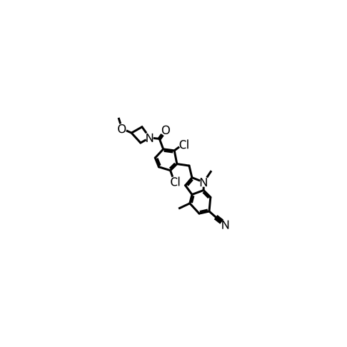 COC1CN(C(=O)c2ccc(Cl)c(Cc3cc4c(C)cc(C#N)cc4n3C)c2Cl)C1